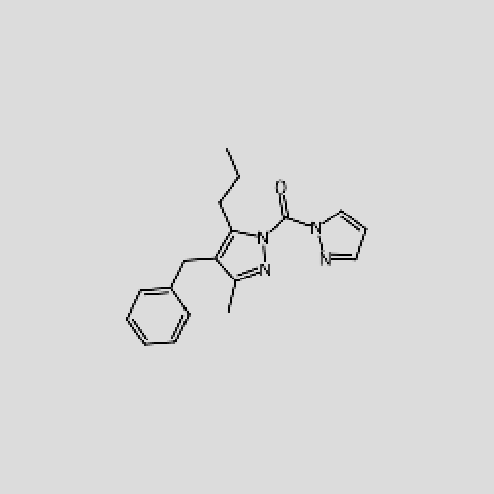 CCCc1c(Cc2ccccc2)c(C)nn1C(=O)n1cccn1